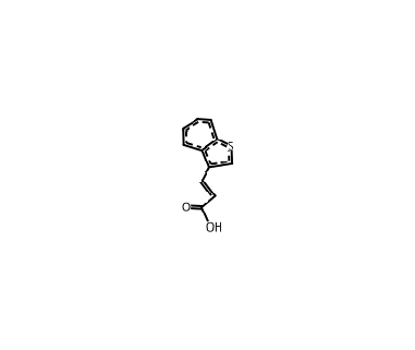 O=C(O)C=Cc1csc2ccccc12